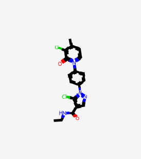 CCNC(=O)c1cnn(-c2ccc(-n3ccc(C)c(Cl)c3=O)cc2)c1Cl